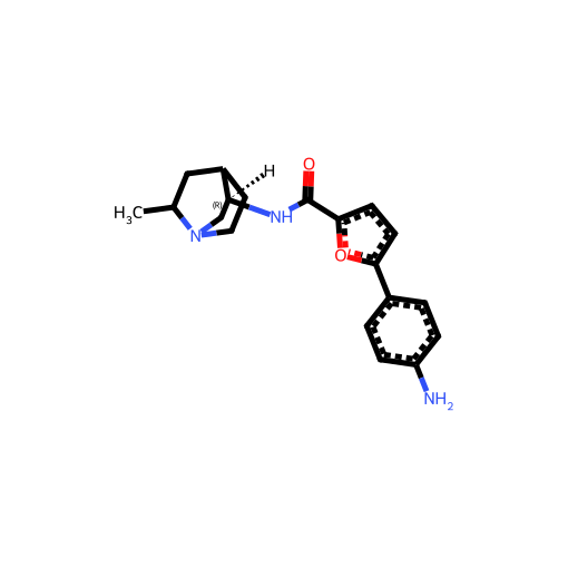 CC1CC2CCN1C[C@@H]2NC(=O)c1ccc(-c2ccc(N)cc2)o1